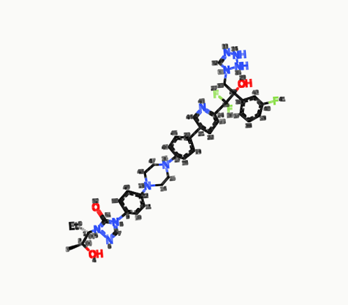 CC[C@@H]([C@H](C)O)n1ncn(-c2ccc(N3CCN(c4ccc(-c5ccc(C(F)(F)C(O)(CN6C=NNN6)c6cccc(F)c6)nc5)cc4)CC3)cc2)c1=O